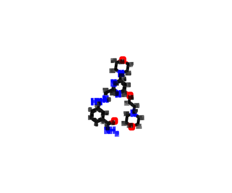 NC(=O)c1cccc(N/N=C/c2nc(OCCN3CCOCC3)cc(N3CCOCC3)n2)c1